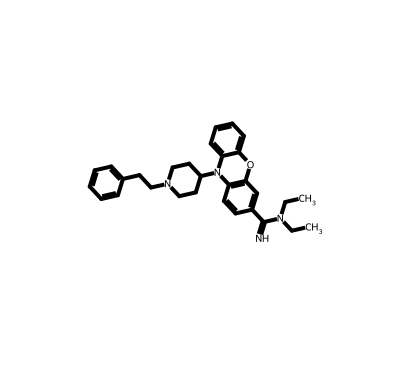 CCN(CC)C(=N)c1ccc2c(c1)Oc1ccccc1N2C1CCN(CCc2ccccc2)CC1